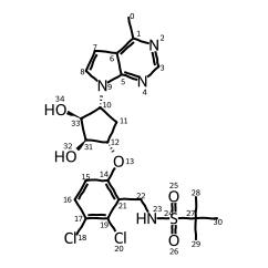 Cc1ncnc2c1ccn2[C@@H]1C[C@H](Oc2ccc(Cl)c(Cl)c2CNS(=O)(=O)C(C)(C)C)[C@@H](O)[C@H]1O